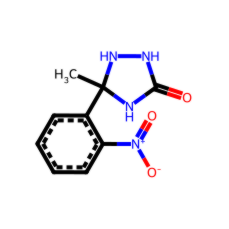 CC1(c2ccccc2[N+](=O)[O-])NNC(=O)N1